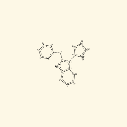 c1ccc(Cc2[nH]c3ccccc3c2-c2nnn[nH]2)cc1